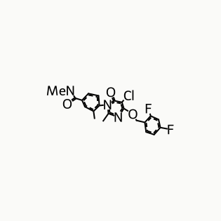 CNC(=O)c1ccc(-n2c(C)nc(OCc3ccc(F)cc3F)c(Cl)c2=O)c(C)c1